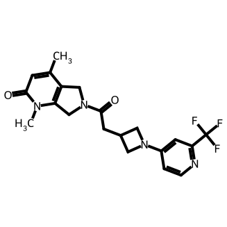 Cc1cc(=O)n(C)c2c1CN(C(=O)CC1CN(c3ccnc(C(F)(F)F)c3)C1)C2